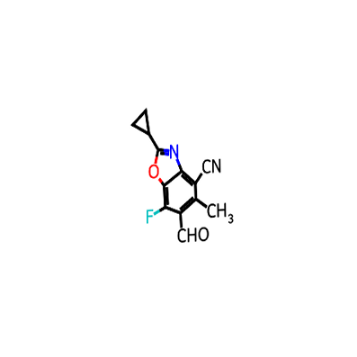 Cc1c(C=O)c(F)c2oc(C3CC3)nc2c1C#N